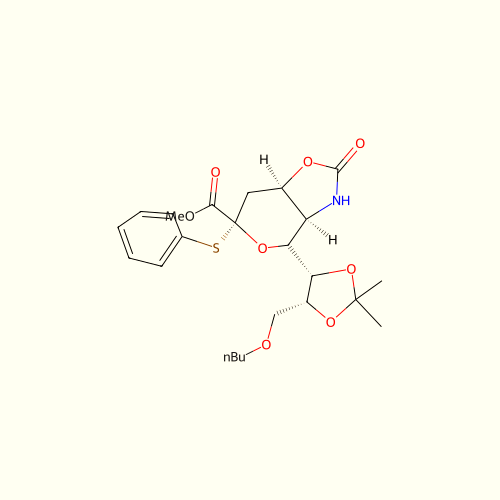 CCCCOC[C@H]1OC(C)(C)O[C@H]1C1O[C@@](Sc2ccccc2)(C(=O)OC)C[C@H]2OC(=O)N[C@@H]12